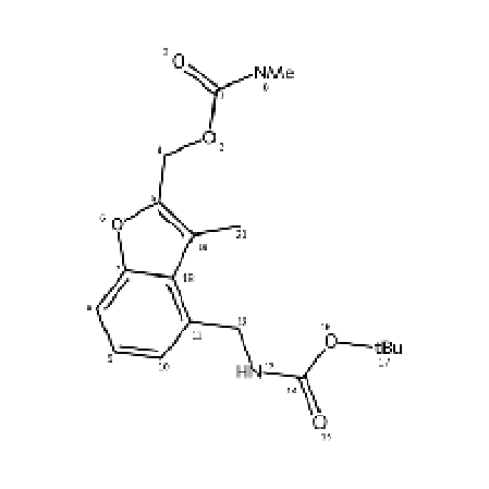 CNC(=O)OCc1oc2cccc(CNC(=O)OC(C)(C)C)c2c1C